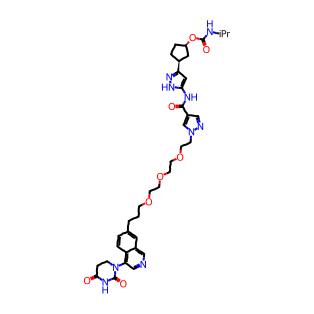 CC(C)NC(=O)O[C@@H]1CC[C@H](c2cc(NC(=O)c3cnn(CCOCCOCCOCCCc4ccc5c(N6CCC(=O)NC6=O)cncc5c4)c3)[nH]n2)C1